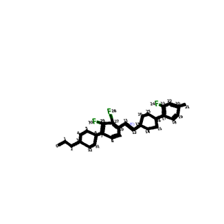 CCCC1CCC(c2ccc(/C=C/C3CCC(c4ccc(C)cc4F)CC3)c(F)c2F)CC1